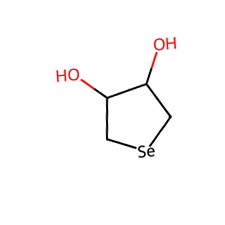 OC1C[Se]CC1O